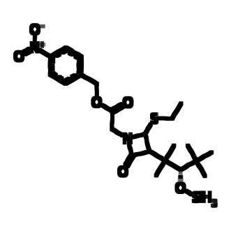 CCSC1C(C(C)(C)[C@@H](O[SiH3])C(C)(C)C)C(=O)N1CC(=O)OCc1ccc([N+](=O)[O-])cc1